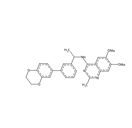 COc1cc2nc(C)nc(NC(C)c3cccc(-c4ccc5c(c4)OCCO5)c3)c2cc1OC